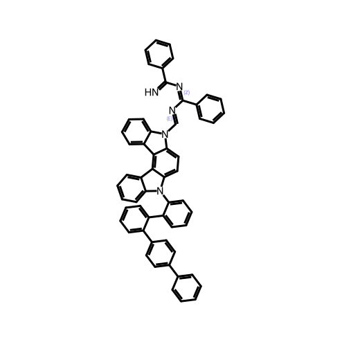 N=C(/N=C(\N=C\n1c2ccccc2c2c3c4ccccc4n(-c4ccccc4-c4ccccc4-c4ccc(-c5ccccc5)cc4)c3ccc21)c1ccccc1)c1ccccc1